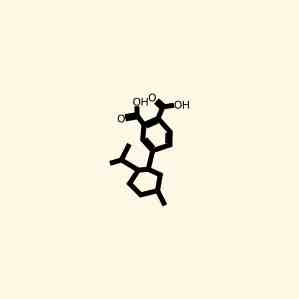 CC1CCC(C(C)C)C(c2ccc(C(=O)O)c(C(=O)O)c2)C1